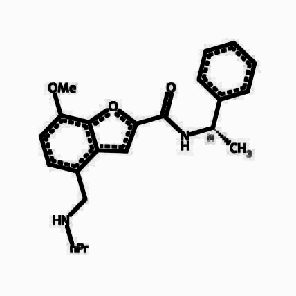 CCCNCc1ccc(OC)c2oc(C(=O)N[C@@H](C)c3ccccc3)cc12